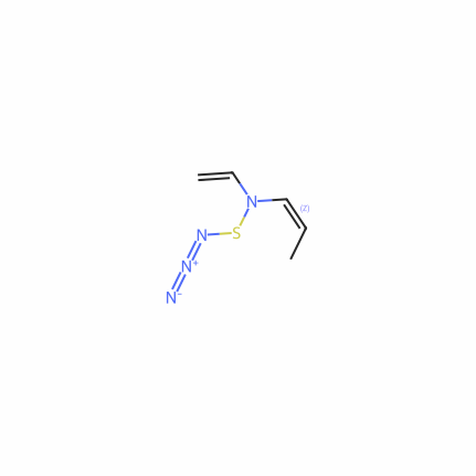 C=CN(/C=C\C)SN=[N+]=[N-]